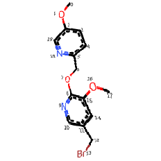 COc1ccc(COc2ncc(CBr)cc2OC)nc1